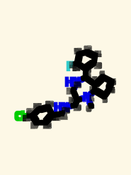 CN1c2ccccc2C(c2ccccc2F)NCC1CNCc1ccc(Cl)cc1